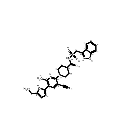 CCc1cnc(-c2cc(C#N)c(N3CCC(C(=O)NS(=O)(=O)Cc4noc5ccccc45)CC3)nc2C)o1